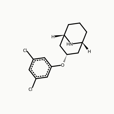 Clc1cc(Cl)cc(O[C@H]2C[C@H]3CCC[C@@H](C2)N3)c1